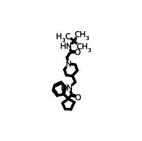 CC(C)(C)NC(=O)CN1CCC(CNC(=O)C2(c3ccccc3)CCCC2)CC1